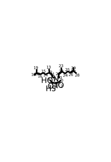 CC(=O)[C@](CS)(C(=O)O)N(CC=C(C)CCC=C(C)C)CC=C(C)CCC=C(C)C